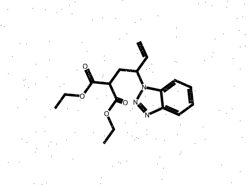 C=CC(CC(C(=O)OCC)C(=O)OCC)n1nnc2ccccc21